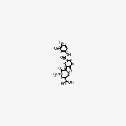 CCC(O)C1CN(C)C(=O)c2c3c(nn2C1)CCN(C(=O)Nc1ccc(F)c(Cl)c1)C3